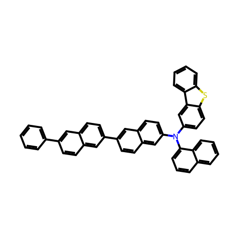 c1ccc(-c2ccc3cc(-c4ccc5cc(N(c6ccc7sc8ccccc8c7c6)c6cccc7ccccc67)ccc5c4)ccc3c2)cc1